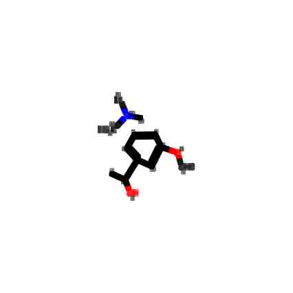 CC(O)c1cccc(OC=O)c1.CCN(C)C(=O)O